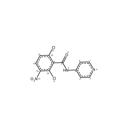 O=C(Nc1ccncc1)c1c(Cl)ccc([N+](=O)[O-])c1Cl